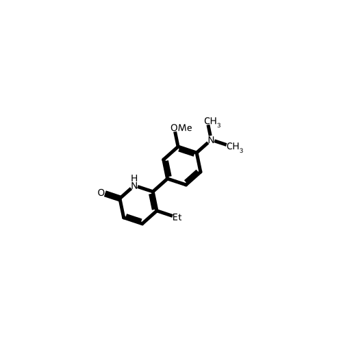 CCc1ccc(=O)[nH]c1-c1ccc(N(C)C)c(OC)c1